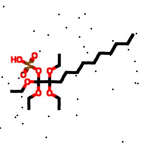 CCCCCCCCCCC(OCC)(OCC)C(OCC)(OCC)OS(=O)(=O)O